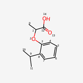 CC(Oc1ccccc1C(C)C)C(=O)O